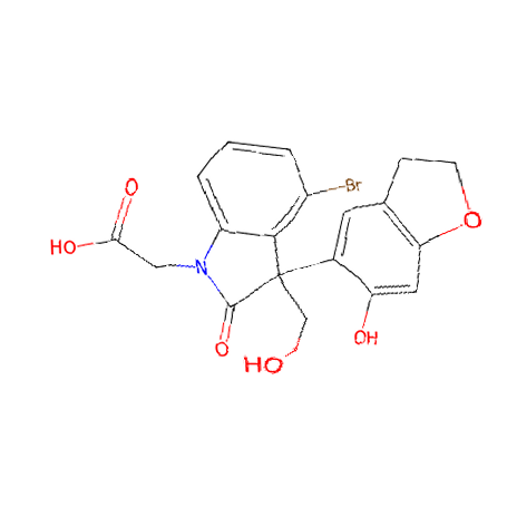 O=C(O)CN1C(=O)C(CO)(c2cc3c(cc2O)OCC3)c2c(Br)cccc21